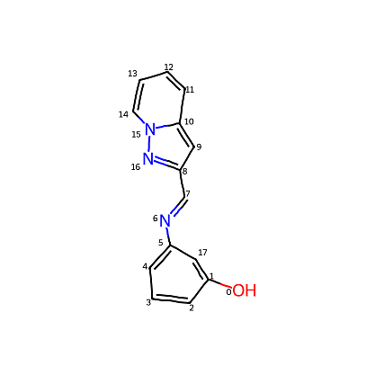 Oc1cccc(N=Cc2cc3ccccn3n2)c1